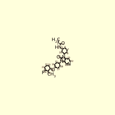 C=CC(=O)Nc1cccc(-n2c(=O)n(-c3ccc(Oc4cccc(F)c4C)cc3)c3cnccc32)c1